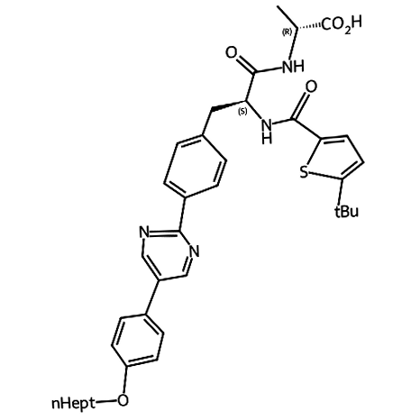 CCCCCCCOc1ccc(-c2cnc(-c3ccc(C[C@H](NC(=O)c4ccc(C(C)(C)C)s4)C(=O)N[C@H](C)C(=O)O)cc3)nc2)cc1